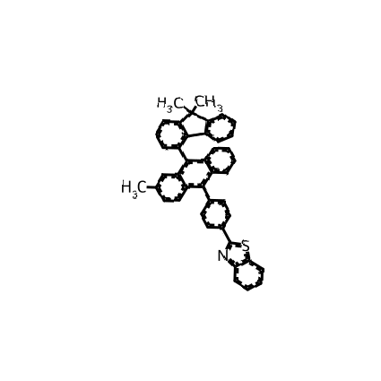 Cc1ccc2c(-c3ccc(-c4nc5ccccc5s4)cc3)c3ccccc3c(-c3cccc4c3-c3ccccc3C4(C)C)c2c1